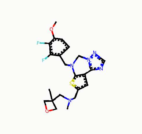 COc1ccc(CN2Cn3ncnc3-c3cc(CN(C)CC4(C)COC4)sc32)c(F)c1F